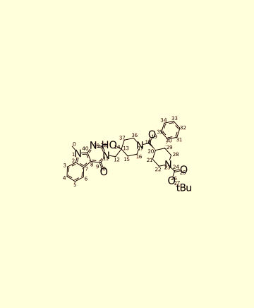 Cn1c2ccccc2c2c(=O)n(CC3(O)CCN(C(=O)[C@@H]4CCN(C(=O)OC(C)(C)C)C[C@H]4c4ccccc4)CC3)cnc21